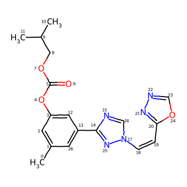 Cc1cc(OC(=O)OCC(C)C)cc(-c2ncn(/C=C\c3nnco3)n2)c1